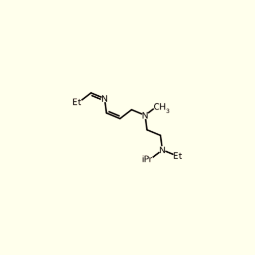 CC/C=N\C=C/CN(C)CCN(CC)C(C)C